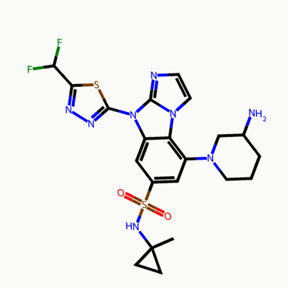 CC1(NS(=O)(=O)c2cc(N3CCCC(N)C3)c3c(c2)n(-c2nnc(C(F)F)s2)c2nccn32)CC1